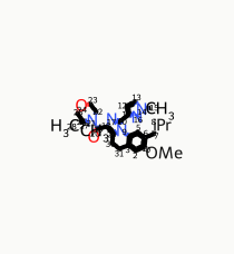 COc1cc2c(cc1CC(C)C)-n1c(-c3ccn(C)n3)nc(C(=O)N3CCOCC3(C)C)c1CC2